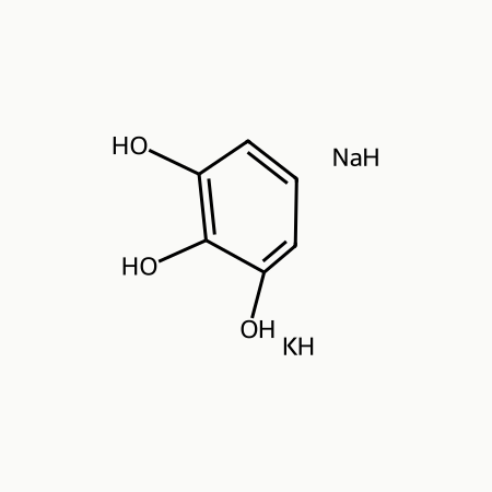 Oc1cccc(O)c1O.[KH].[NaH]